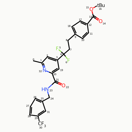 Cc1cc(C(F)(F)CCc2ccc(C(=O)OC(C)(C)C)cc2)cc(C(=O)NCc2cccc(C(F)(F)F)c2)n1